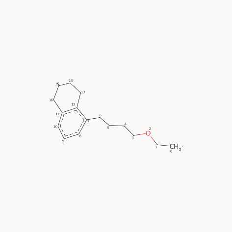 [CH2]COCCCCc1cccc2c1CCCC2